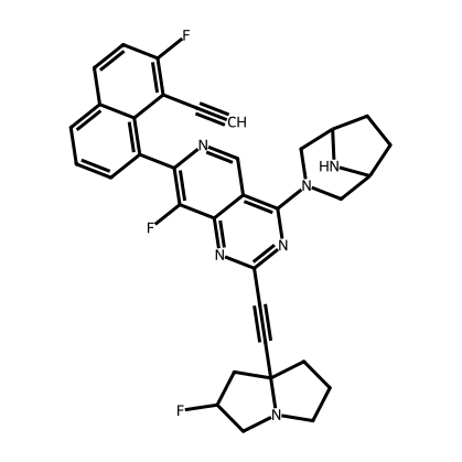 C#Cc1c(F)ccc2cccc(-c3ncc4c(N5CC6CCC(C5)N6)nc(C#CC56CCCN5CC(F)C6)nc4c3F)c12